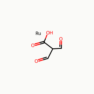 O=CC(C=O)C(=O)O.[Ru]